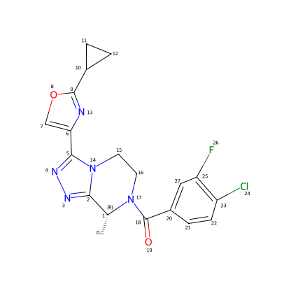 C[C@@H]1c2nnc(-c3coc(C4CC4)n3)n2CCN1C(=O)c1ccc(Cl)c(F)c1